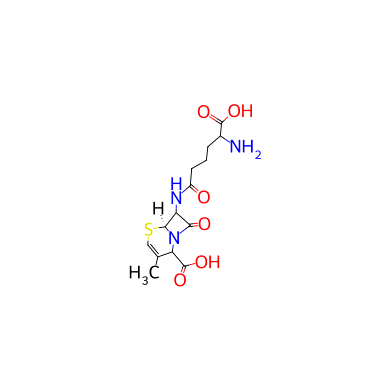 CC1=CS[C@H]2C(NC(=O)CCCC(N)C(=O)O)C(=O)N2C1C(=O)O